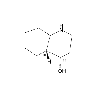 O[C@H]1CCNC2CCCC[C@H]21